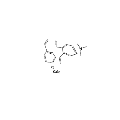 C=Cc1ccccc1.C=Cc1ccccc1C=C.CN(C)C.COCl